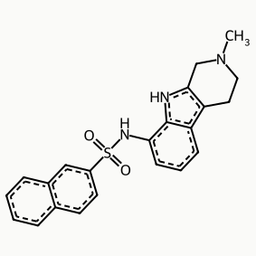 CN1CCc2c([nH]c3c(NS(=O)(=O)c4ccc5ccccc5c4)cccc23)C1